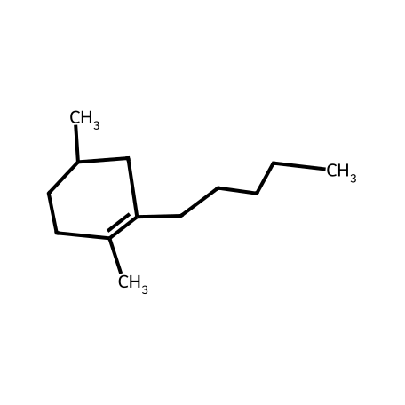 CCCCCC1=C(C)CCC(C)C1